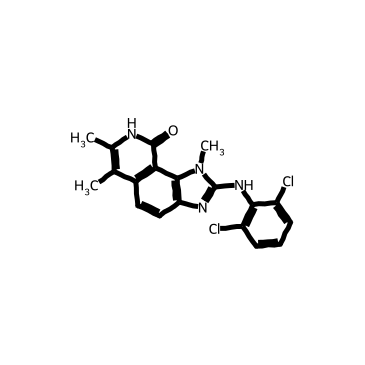 Cc1[nH]c(=O)c2c(ccc3nc(Nc4c(Cl)cccc4Cl)n(C)c32)c1C